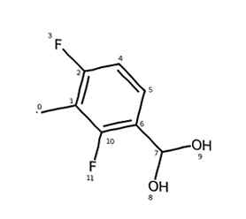 [CH2]c1c(F)ccc(C(O)O)c1F